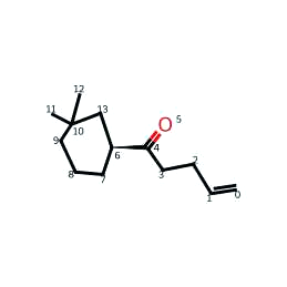 C=CCCC(=O)[C@H]1CCCC(C)(C)C1